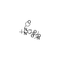 Cc1noc(C)c1S(=O)(=O)c1ccc2c(c1)nc(C(C)(C)C)n2CC1CCOCC1